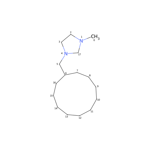 CN1CCN(CC2CCCCCCCCCC2)C1